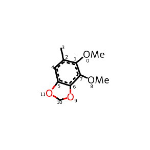 COc1c(C)cc2c(c1OC)OCO2